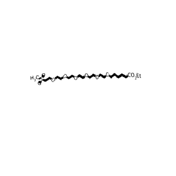 CCOC(=O)CCCCCOCCOCCOCCOCCOCCOCCS(C)(=O)=O